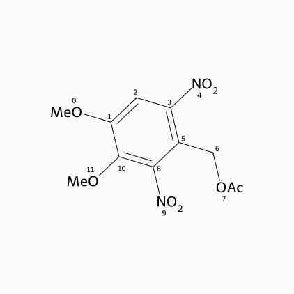 COc1cc([N+](=O)[O-])c(COC(C)=O)c([N+](=O)[O-])c1OC